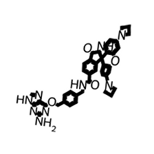 N=C1C(=O)c2ccc(C(=O)NCc3ccc(COc4nc(N)nc5[nH]cnc45)cc3)cc2C12c1ccc(N3CCC3)cc1Oc1cc(N3CCC3)ccc12